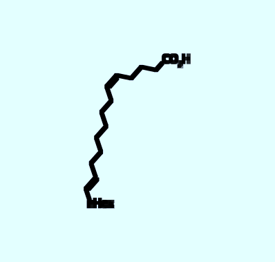 CCCCCCC=CCCCCCC/C=C\CCCC(=O)O